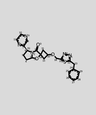 O=C1N2C(CC[C@H]2c2cnccn2)OC12CC(OCc1nnc(Cc3ccccc3)s1)C2